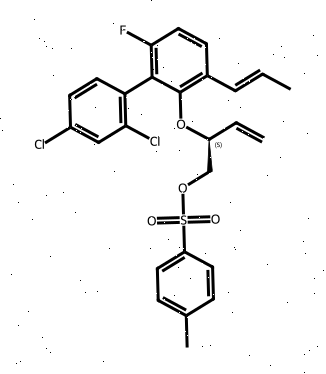 C=C[C@@H](COS(=O)(=O)c1ccc(C)cc1)Oc1c(C=CC)ccc(F)c1-c1ccc(Cl)cc1Cl